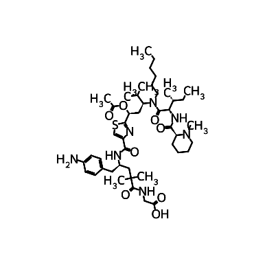 CCCCCCN(C(=O)[C@H](NC(=O)[C@@H]1CCCCN1C)[C@H](C)CC)[C@@H](C[C@H](OC(C)=O)c1nc(C(=O)N[C@H](Cc2ccc(N)cc2)CC(C)(C)C(=O)NCC(=O)O)cs1)C(C)C